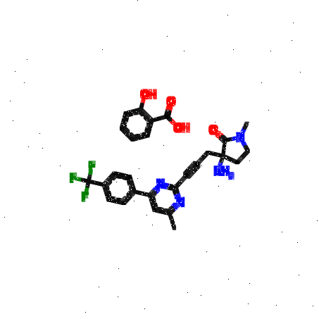 Cc1cc(-c2ccc(C(F)(F)F)cc2)nc(C#CCC2(N)CCN(C)C2=O)n1.O=C(O)c1ccccc1O